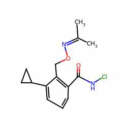 CC(C)=NOCc1c(C(=O)NCl)cccc1C1CC1